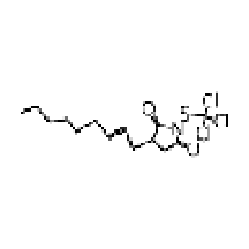 CCCCCC/C=C/CC1CC(=O)N(SC(Cl)(Cl)Cl)C1=O